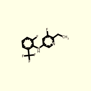 C[CH]c1ncc(Nc2c(F)cccc2C(F)(F)F)cc1F